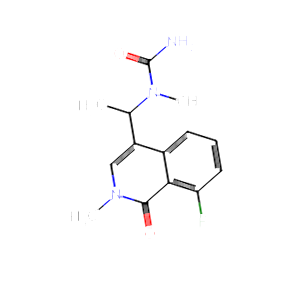 CC(c1cn(C)c(=O)c2c(F)cccc12)N(C)C(N)=O